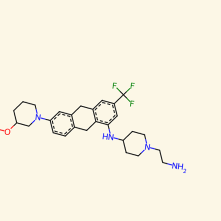 COC1CCCN(c2ccc3c(c2)Cc2cc(C(F)(F)F)cc(NC4CCN(CCN)CC4)c2C3)C1